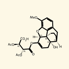 COc1ccc2c3c1O[C@@H]1C(OC(=O)[C@H](OC(C)=O)[C@@H](OC(C)=O)C(=O)O)=CC[C@]4(O)[C@@H](CCC[C@@]314)C2